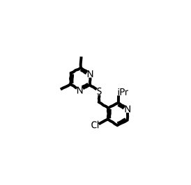 Cc1cc(C)nc(SCc2c(Cl)ccnc2C(C)C)n1